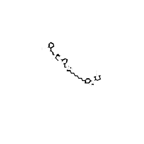 Cn1c(=O)n(C2CCC(=O)NC2=O)c2ccc(CCCCCCCc3cn(Cc4cccc(N5C[C@H]6C[C@@H]5CN6/C=C/C(=O)c5ccccc5O)n4)nn3)cc21